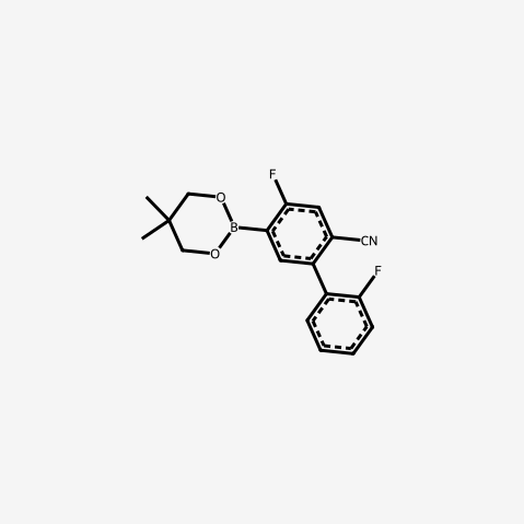 CC1(C)COB(c2cc(-c3ccccc3F)c(C#N)cc2F)OC1